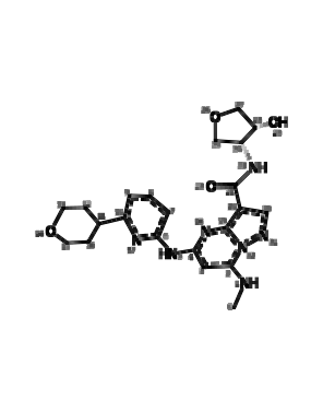 CNc1cc(Nc2cccc(C3CCOCC3)n2)nc2c(C(=O)N[C@@H]3COC[C@@H]3O)cnn12